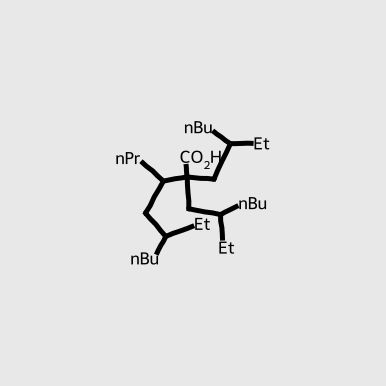 CCCCC(CC)CC(CCC)C(CC(CC)CCCC)(CC(CC)CCCC)C(=O)O